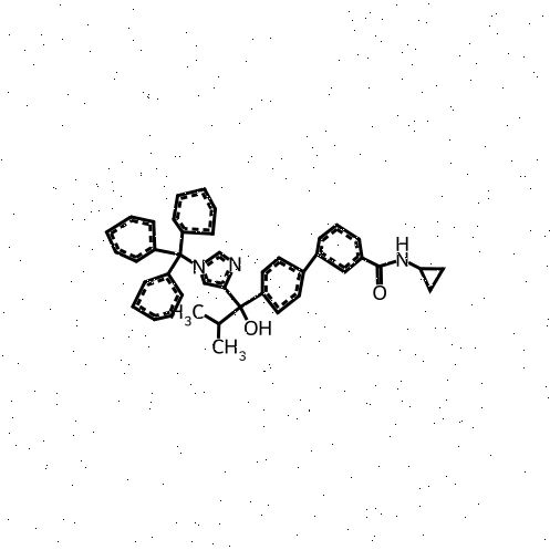 CC(C)C(O)(c1ccc(-c2cccc(C(=O)NC3CC3)c2)cc1)c1cn(C(c2ccccc2)(c2ccccc2)c2ccccc2)cn1